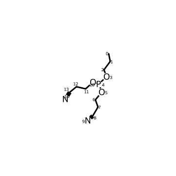 CCCOP(OCCC#N)OCCC#N